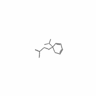 CC(C)CCC1(C(C)C)C=CC=CC1